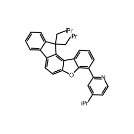 CC(C)CC1(CC(C)C)c2ccccc2-c2ccc3oc4c(-c5cc(C(C)C)ccn5)cccc4c3c21